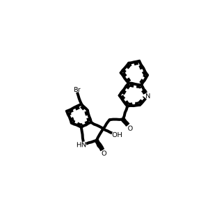 O=C(CC1(O)C(=O)Nc2ccc(Br)cc21)c1cnc2ccccc2c1